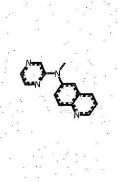 CN(c1ccc2ncccc2c1)c1cnccn1